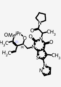 C=C/C(=C(\C)OC)[C@H](Cn1c(=O)n(C(C)C(=O)N2CCCC2)c(=O)c2c(C)c(-n3cccn3)sc21)OC(C)C